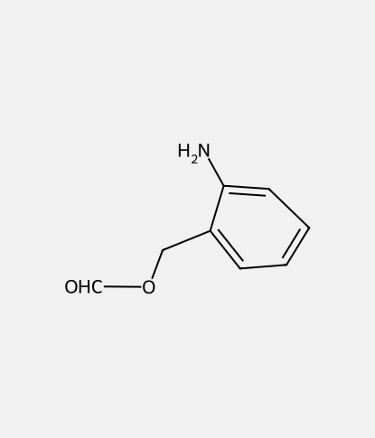 Nc1ccccc1COC=O